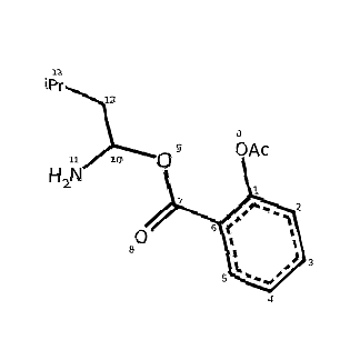 CC(=O)Oc1ccccc1C(=O)OC(N)CC(C)C